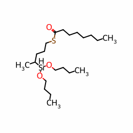 CCCCCCCC(=O)SCCCC(C)[SiH](OCCCC)OCCCC